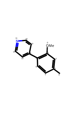 COc1cc(C)ccc1-c1ccncc1